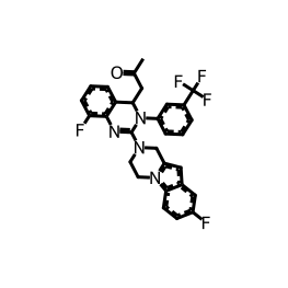 CC(=O)CC1c2cccc(F)c2N=C(N2CCn3c(cc4cc(F)ccc43)C2)N1c1cccc(C(F)(F)F)c1